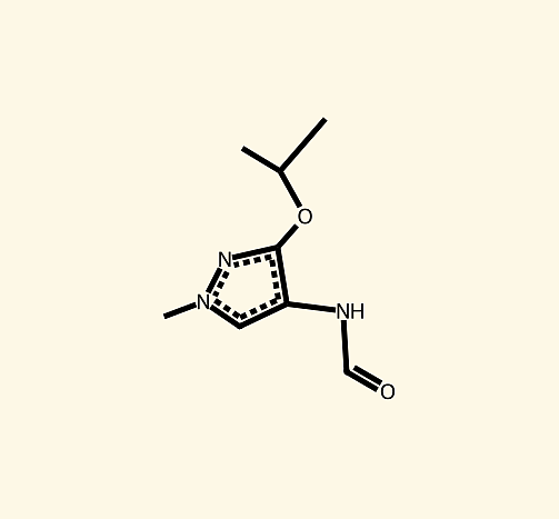 CC(C)Oc1nn(C)cc1NC=O